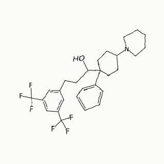 OC(CCc1cc(C(F)(F)F)cc(C(F)(F)F)c1)C1(c2ccccc2)CCC(N2CCCCC2)CC1